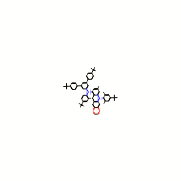 Cc1cc2c3c(c1)N(c1c(C)cc(C(C)(C)C)cc1C)c1cc4c(cc1B3c1cc(C(C)(C)C)ccc1N2c1cc(-c2ccc(C(C)(C)C)cc2)cc(-c2ccc(C(C)(C)C)cc2)c1)OCCO4